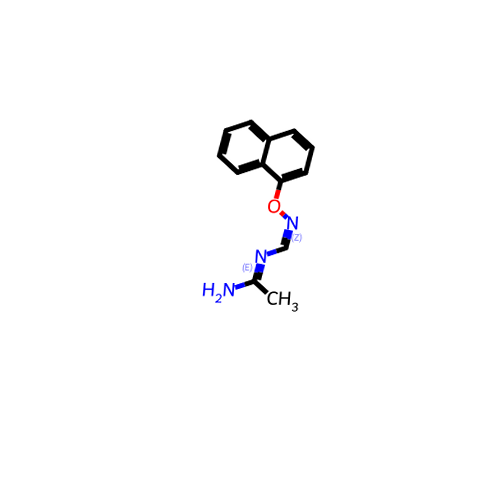 C/C(N)=N\C=N/Oc1cccc2ccccc12